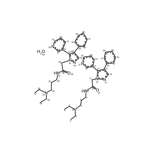 CCN(CC)CCCNC(=O)Cn1ncc(-c2ccccc2)c1-c1cccnc1.CCN(CC)CCCNC(=O)Cn1ncc(-c2ccccc2)c1-c1cccnc1.O